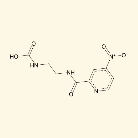 O=C(O)NCCNC(=O)c1cc([N+](=O)[O-])ccn1